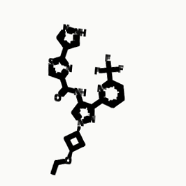 CCO[C@H]1C[C@H](n2cc(NC(=O)c3csc(-c4cn[nH]c4)n3)c(-c3cccc(C(F)(F)F)n3)n2)C1